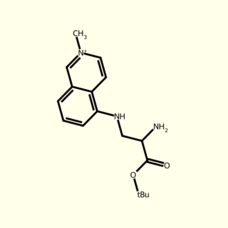 C[n+]1ccc2c(NCC(N)C(=O)OC(C)(C)C)cccc2c1